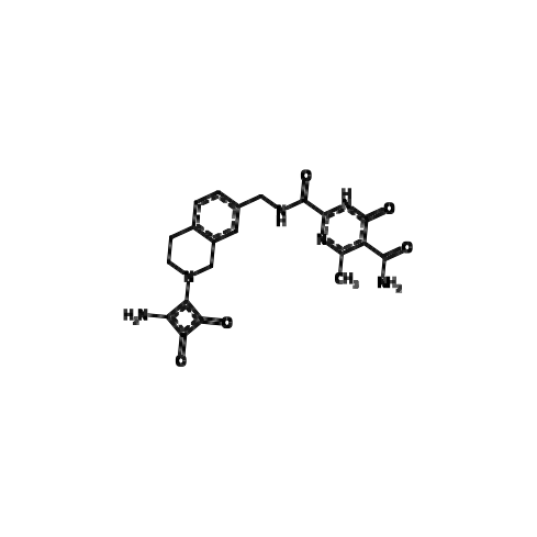 Cc1nc(C(=O)NCc2ccc3c(c2)CN(c2c(N)c(=O)c2=O)CC3)[nH]c(=O)c1C(N)=O